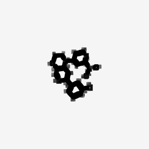 O=[N+]([O-])c1cc(N2CCOc3cnc(-c4cccc(Cl)c4)cc32)ccn1